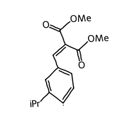 COC(=O)C(=Cc1cc[c]c(C(C)C)c1)C(=O)OC